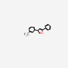 FC(F)(F)c1cccc(C2C=C(c3ccccc3)OC2)c1